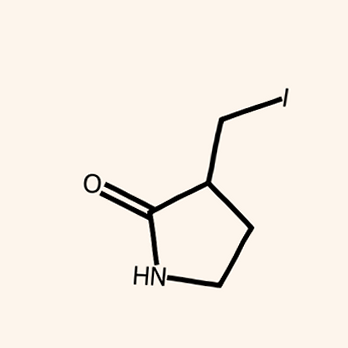 O=C1NCCC1CI